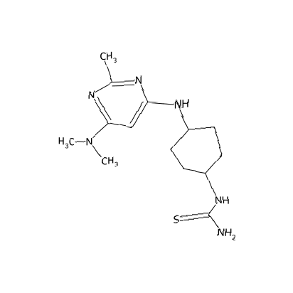 Cc1nc(NC2CCC(NC(N)=S)CC2)cc(N(C)C)n1